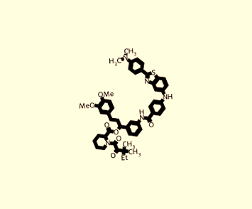 CCC(C)(C)C(=O)C(=O)N1CCCCC1C(=O)OC(CCc1ccc(OC)c(OC)c1)c1cccc(NC(=O)c2ccc(Nc3ccc4sc(-c5ccc(N(C)C)cc5)nc4c3)cc2)c1